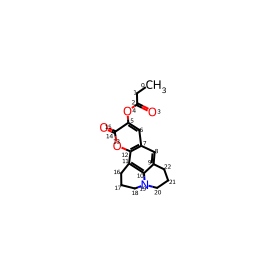 CCC(=O)Oc1cc2cc3c4c(c2oc1=O)CCCN4CCC3